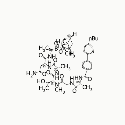 CCCCc1ccc(-c2ccc(C(=O)N[C@H](C)C(=O)NCC(=O)N(C)[C@H](C(=O)N[C@@H](C)C(=O)N[C@@H](CC(N)=O)C(=O)N[C@@H](C)B3OC4C[C@@H]5C[C@@H](C5(C)C)[C@]4(C)O3)C(C)O)cc2)cc1